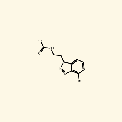 O=C(O)NCCn1nnc2c(Br)cccc21